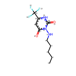 CCCCCNn1c(=O)cc(C(F)(F)F)[nH]c1=O